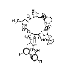 C[C@@H]1C[C@H]2C(=O)O[C@@H](C)[C@H](NC(=O)[C@H](Cc3cc(F)cc(F)c3)NC(=O)Nc3cccc(Cl)c3)C(=O)N3C[C@H](OP(=O)(O)O)C[C@H]3C(=O)N3CCCC[C@H]3C(=O)N[C@@H](C)C(=O)N2C1